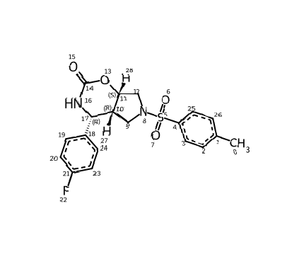 Cc1ccc(S(=O)(=O)N2C[C@H]3[C@@H](C2)OC(=O)N[C@H]3c2ccc(F)cc2)cc1